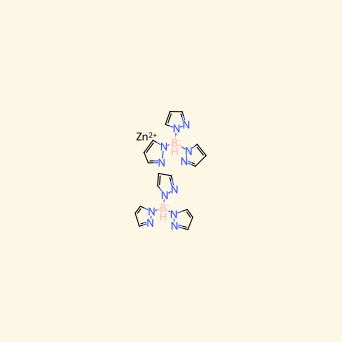 [Zn+2].c1cnn([BH-](n2cccn2)n2cccn2)c1.c1cnn([BH-](n2cccn2)n2cccn2)c1